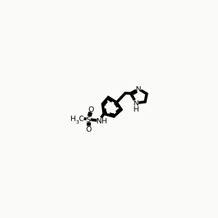 CS(=O)(=O)Nc1ccc(CC2=NCCN2)cc1